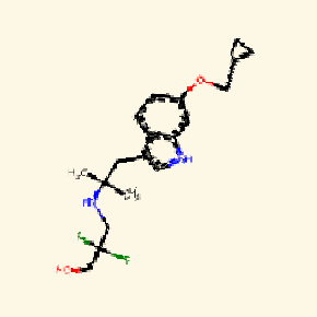 CC(C)(Cc1c[nH]c2cc(OCC3CC3)ccc12)NCC(F)(F)CO